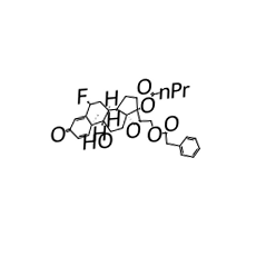 CCCC(=O)O[C@]1(C(=O)COC(=O)Cc2ccccc2)CC[C@H]2[C@@H]3C[C@H](F)C4=CC(=O)C=C[C@]4(C)[C@H]3C(O)C[C@@]21C